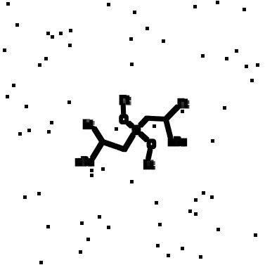 CCCCC(CC)C[Si](CC(CC)CCCC)(OCC)OCC